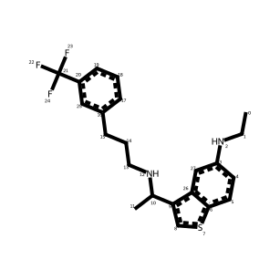 CCNc1ccc2scc(C(C)NCCCc3cccc(C(F)(F)F)c3)c2c1